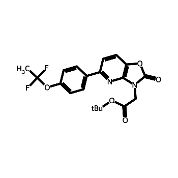 CC(C)(C)OC(=O)Cn1c(=O)oc2ccc(-c3ccc(OC(C)(F)F)cc3)nc21